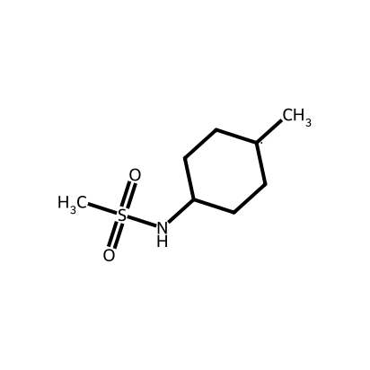 C[C]1CCC(NS(C)(=O)=O)CC1